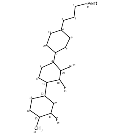 CCCC(C)CCCC1CCC(C2CCC(C3CCC(C)C(F)C3)C(F)C2F)CC1